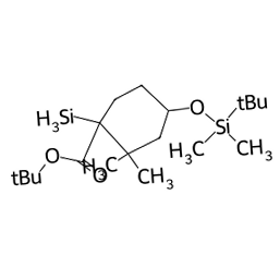 CC(C)(C)OC(=O)C1([SiH3])CCC(O[Si](C)(C)C(C)(C)C)CC1(C)C